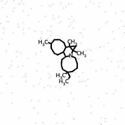 CCC1(C)CCCCN2C(CCC1)C1CCCC(C)CCCC1C1(C)CC21C